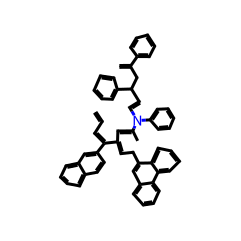 C=C\C=C(C(=C/Cc1cc2ccccc2c2ccccc12)/C=C(\C)N(/C=C/C(CC(=C)c1ccccc1)c1ccccc1)c1ccccc1)\c1ccc2ccccc2c1